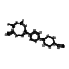 CN1COCN(c2ccc(N3CCC(C=O)CC3)cc2)CCC1=O